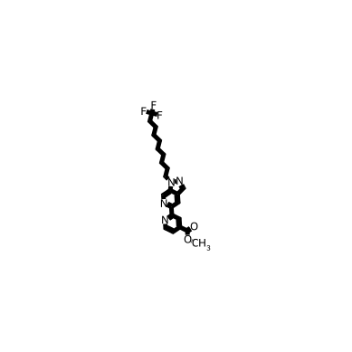 COC(=O)c1ccnc(-c2cc3cnn(CCCCCCCCCC(F)(F)F)c3cn2)c1